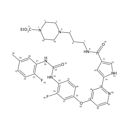 CCOC(=O)N1CCN(CCCNC(=O)c2c[nH]c(-c3cc(Oc4ccc(NC(=O)Nc5cc(C)ccc5F)c(F)c4)ccn3)c2)CC1